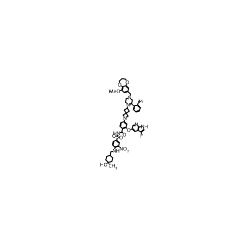 COc1cc(CN2CCN(C3CC4(C3)CN(c3ccc(C(=O)NS(=O)(=O)c5ccc(NCC6CCC(C)(O)CC6)c([N+](=O)[O-])c5)c(Oc5cnc6[nH]cc(F)c6c5)c3)C4)[C@H](c3ccccc3C(C)C)C2)cc2c1OCCCO2